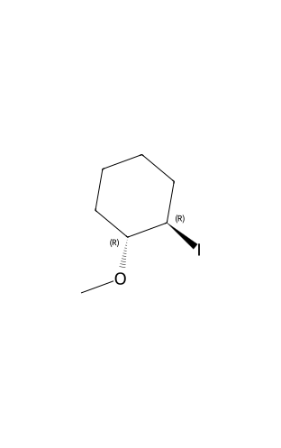 CO[C@@H]1CCCC[C@H]1I